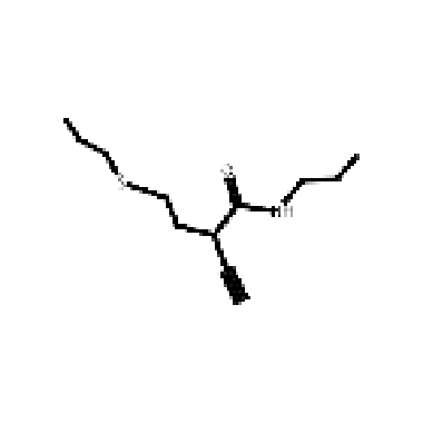 C#CC(CCSCCC)C(=O)NCCC